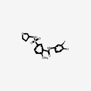 COc1ccc(S(=O)(=O)NC2CCOC2)cc1C(=O)Nc1ccc(Cl)c(F)c1